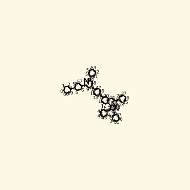 c1ccc(-c2ccc(-c3cc(-c4ccc(-c5ccc6c(c5)cc(-c5ccccc5)n5nc(-c7ccccc7)c(-c7ccccc7)c65)cc4)cc(-c4ccccc4)n3)cc2)cc1